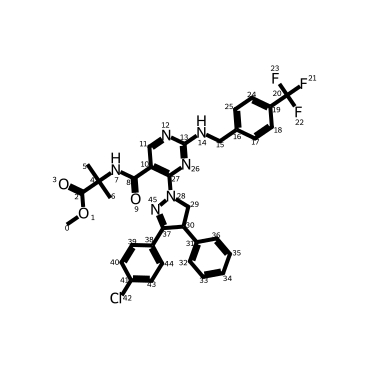 COC(=O)C(C)(C)NC(=O)c1cnc(NCc2ccc(C(F)(F)F)cc2)nc1N1CC(c2ccccc2)C(c2ccc(Cl)cc2)=N1